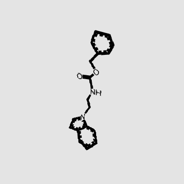 O=C(NCCn1ccc2ccccc21)OCc1ccccc1